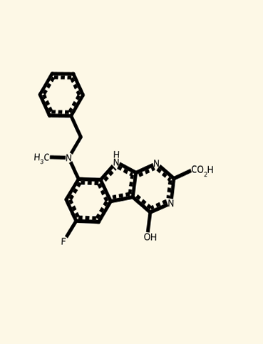 CN(Cc1ccccc1)c1cc(F)cc2c1[nH]c1nc(C(=O)O)nc(O)c12